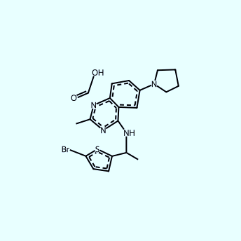 Cc1nc(NC(C)c2ccc(Br)s2)c2cc(N3CCCC3)ccc2n1.O=CO